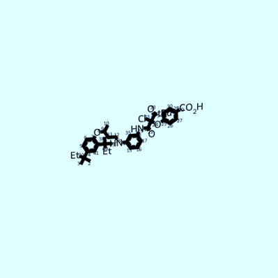 CCC(C)(C)c1ccc(OC(C)CCNc2cccc(NC(=O)C(Cl)(Oc3ccc(C(=O)O)cc3)C(=O)C(C)(C)C)c2)c(C(C)(C)CC)c1